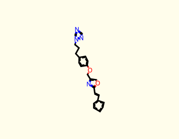 C(=C\c1nc(COc2ccc(CCCn3cncn3)cc2)co1)/c1ccccc1